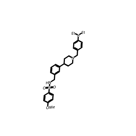 CCN(CC)c1ccc(CN2CCC(c3cccc(CNS(=O)(=O)c4ccc(OC)cc4)c3)CC2)cc1